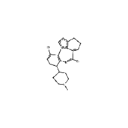 CN1CCC(C2CC=C(Br)C3=C2N=C(Br)C2=CCCc4ccn3c42)CC1